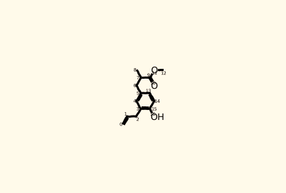 C=CCc1cc(CC(C)C(=O)OC)ccc1O